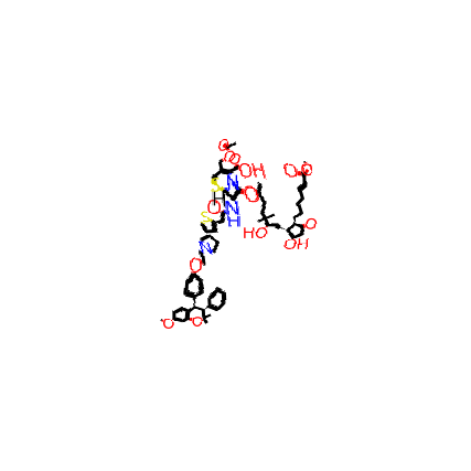 CC(=O)OCC1=C(C(=O)O)N2C(=O)[C@@H](NC(=O)Cc3cccs3)[C@H]2SC1.CCCCC(C)(C)[C@H](O)/C=C/[C@H]1[C@H](O)CC(=O)[C@@H]1CCCC/C=C/C(=O)OC.COc1ccc2c(c1)OC(C)(C)[C@@H](c1ccccc1)[C@@H]2c1ccc(OCCN2CCCC2)cc1